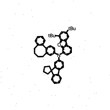 CC(C)(C)c1cc(C(C)(C)C)c2oc3c(N(c4ccc5c(c4)CCCCc4ccccc4-5)c4ccc5c(c4)C4(CCCC4)c4ccccc4-5)cccc3c2c1